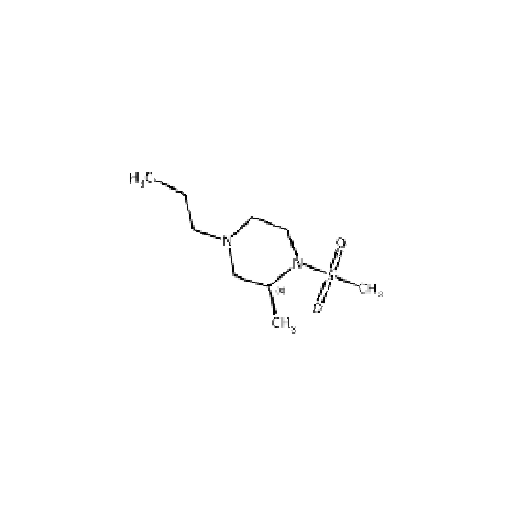 CCCN1CCN(S(C)(=O)=O)[C@@H](C)C1